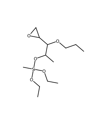 CCCOC(C(C)O[Si](C)(OCC)OCC)C1CO1